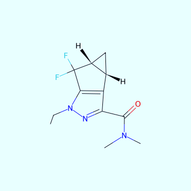 CCn1nc(C(=O)N(C)C)c2c1C(F)(F)[C@@H]1C[C@H]21